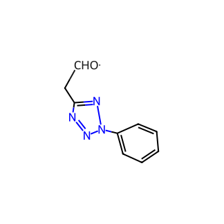 O=[C]Cc1nnn(-c2ccccc2)n1